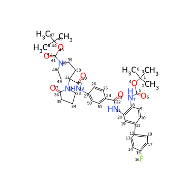 CC(C)(C)OC(=O)Nc1ccc(-c2ccc(F)cc2)cc1NC(=O)c1ccc(NC(=O)C2(N3CCCC3=O)CCN(C(=O)OC(C)(C)C)CC2)cc1